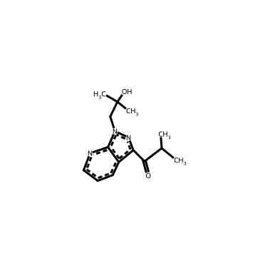 CC(C)C(=O)c1nn(CC(C)(C)O)c2ncccc12